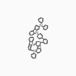 C1=CC2[C@H](C=C1)C1CC(c3ccccc3C3=CCC(n4c5ccccc5c5ccc(N(c6ccccc6)c6ccccc6)cc54)C=C3)CC=C1n1c3ccccc3c3ccc(cc31)N2c1ccccc1